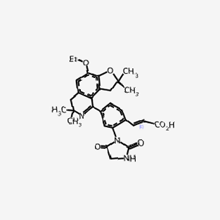 CCOc1cc2c(c3c1OC(C)(C)C3)C(c1ccc(/C=C/C(=O)O)c(N3C(=O)CNC3=O)c1)=NC(C)(C)C2